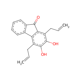 C=CCc1c(O)c(O)c(CC=C)c2c1C(=O)c1ccccc1-2